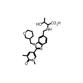 Cc1cc(-c2nc3ccc(CNC(C(=O)O)C(C)O)cc3n2CC2CCCOC2)cn(C)c1=O